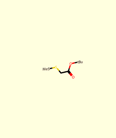 CSSCC(=O)OC(C)(C)C